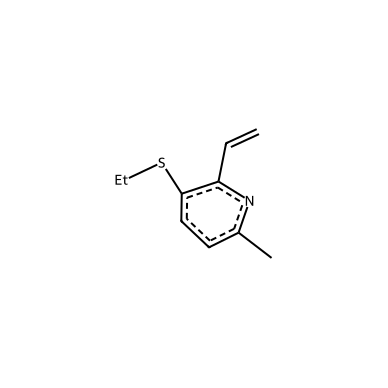 C=Cc1nc(C)ccc1SCC